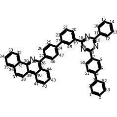 c1ccc(-c2ccc(-c3nc(-c4ccccc4)nc(-c4cccc(-c5ccc(-c6nc7c8ccccc8ccc7c7ccccc67)cc5)c4)n3)cc2)cc1